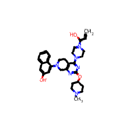 C=CC(O)N1CCN(c2nc(OC3CCN(C)CC3)nc3c2CCN(c2cc(O)cc4ccccc24)C3)CC1